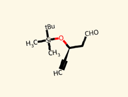 C#C[C@H](CC=O)O[Si](C)(C)C(C)(C)C